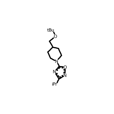 CC(C)c1noc(N2CCC(COC(C)(C)C)CC2)n1